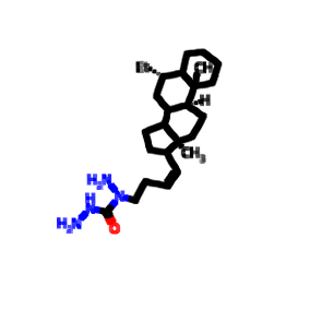 CC[C@H]1CC2C3CCC(/C=C\CCN(N)C(=O)NN)[C@@]3(C)CC[C@@H]2C2(C)CCCCC12